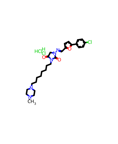 CN1CCN(CCCCCCCCN2C(=O)CN(N=Cc3ccc(-c4ccc(Cl)cc4)o3)C2=O)CC1.Cl.Cl